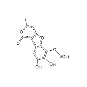 CCCCCCCCOc1c(O)c(O)cc2c1oc1cc(C)oc(=O)c12